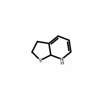 C1=CNC2SCCC2=C1